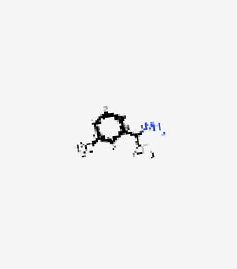 Cc1cccc(C(N)C(F)(F)F)c1